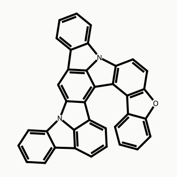 c1ccc2c(c1)oc1ccc3c(c12)c1c2c4cccc5c6ccccc6n(c2cc2c6ccccc6n3c21)c54